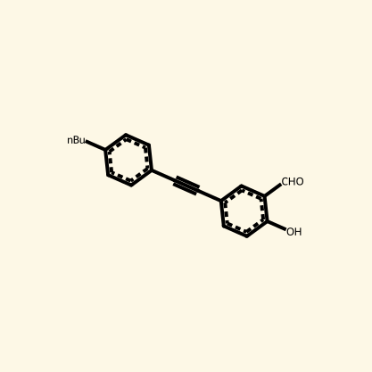 CCCCc1ccc(C#Cc2ccc(O)c(C=O)c2)cc1